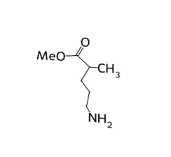 COC(=O)C(C)CCCN